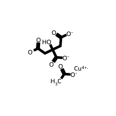 CC(=O)[O-].O=C([O-])CC(O)(CC(=O)[O-])C(=O)[O-].[Cu+4]